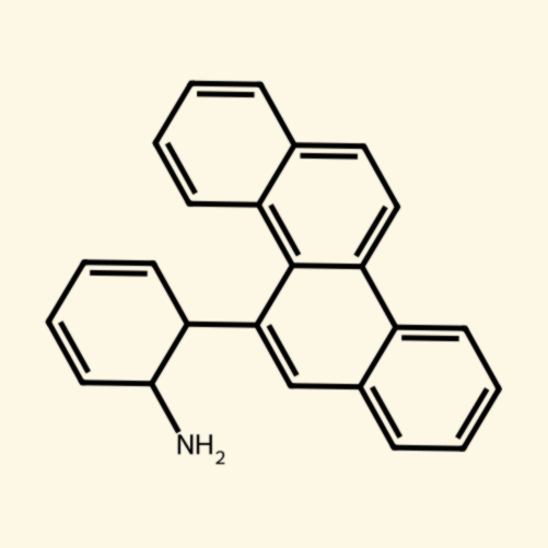 NC1C=CC=CC1c1cc2ccccc2c2ccc3ccccc3c12